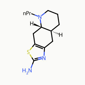 CCCN1CCC[C@H]2Cc3nc(N)sc3C[C@@H]21